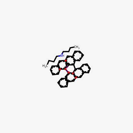 CCCCNCCCC.c1ccc(P(c2ccccc2)c2ccc3ccccc3c2-c2c(P(c3ccccc3)c3ccccc3)ccc3ccccc23)cc1